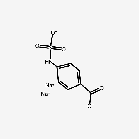 O=C([O-])c1ccc(NS(=O)(=O)[O-])cc1.[Na+].[Na+]